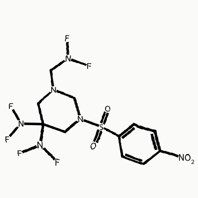 O=[N+]([O-])c1ccc(S(=O)(=O)N2CN(CN(F)F)CC(N(F)F)(N(F)F)C2)cc1